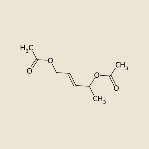 CC(=O)OC/C=C/C(C)OC(C)=O